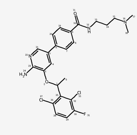 CC(Oc1cc(-c2ccc(C(=O)NCCCN(C)C)cc2)cnc1N)c1c(Cl)ccc(F)c1Cl